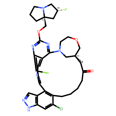 O=C1CCCCc2c(Cl)cc3[nH]ncc3c2-c2ncc3c(nc(OC[C@@]45CCCN4C[C@H](F)C5)nc3c2F)N2CCOC[C@@H](C1)C2